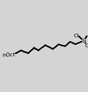 CCCCCCCCCCCCCCCCCC[Si](C)(Cl)Cl